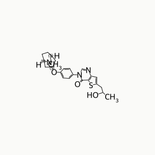 CC(O)Cc1cc2ncn(-c3ccc(O[C@@H]4C[C@H]5CC[C@@H](C4)N5C)cc3)c(=O)c2s1